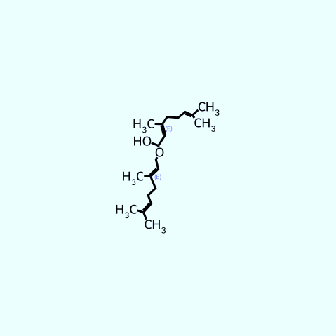 CC(C)=CCC/C(C)=C/COC(O)/C=C(\C)CCC=C(C)C